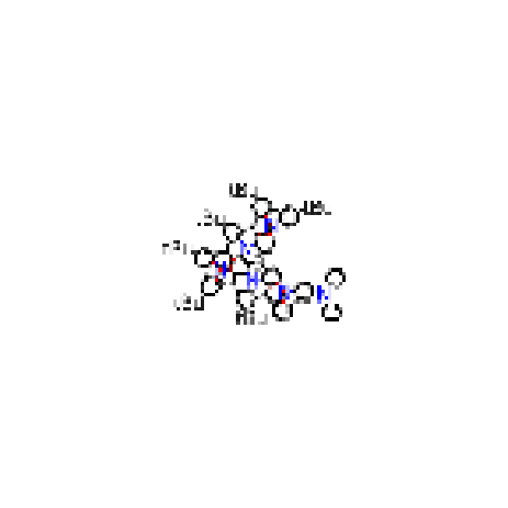 CC(C)(C)c1cc(-c2ccccc2)c(N2c3cc(-n4c5ccccc5c5cc(N(c6ccccc6)c6ccccc6)ccc54)ccc3B3c4ccc(-n5c6ccc(C(C)(C)C)cc6c6cc(C(C)(C)C)ccc65)cc4N(c4c(-c5ccccc5)cc(C(C)(C)C)cc4-c4ccccc4)c4cc(-n5c6ccc(C(C)(C)C)cc6c6cc(C(C)(C)C)ccc65)cc2c43)c(-c2ccccc2)c1